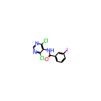 O=C(Nc1c(Cl)ncnc1Cl)c1cccc(I)c1